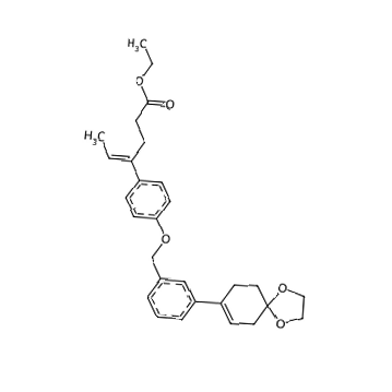 CC=C(CCC(=O)OCC)c1ccc(OCc2cccc(C3=CCC4(CC3)OCCO4)c2)cc1